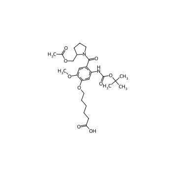 COc1cc(C(=O)N2CCCC2COC(C)=O)c(NC(=O)OC(C)(C)C)cc1OCCCCCC(=O)O